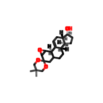 CC1(C)COC2(CC3CC[C@@H]4C(=CC[C@H]5[C@H]4CC[C@H]5O)[C@@H]3C3OC32)OC1